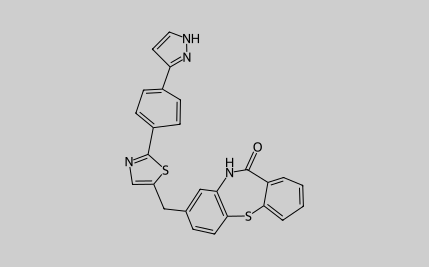 O=C1Nc2cc(Cc3cnc(-c4ccc(-c5cc[nH]n5)cc4)s3)ccc2Sc2ccccc21